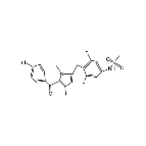 Cc1cc(Cc2c(F)cc(NS(C)(=O)=O)cc2F)n(C)c1C(=O)c1ccc(Cl)cc1